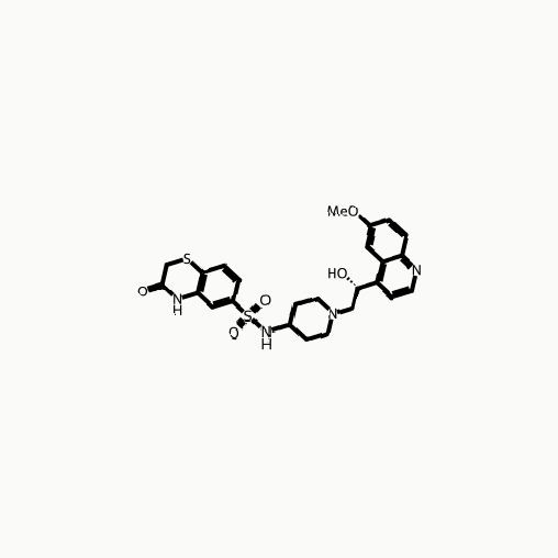 COc1ccc2nccc([C@@H](O)CN3CCC(NS(=O)(=O)c4ccc5c(c4)NC(=O)CS5)CC3)c2c1